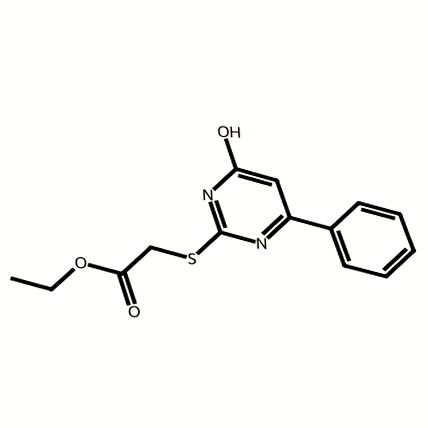 CCOC(=O)CSc1nc(O)cc(-c2ccccc2)n1